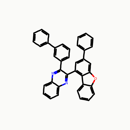 c1ccc(-c2cccc(-c3nc4ccccc4nc3-c3cc(-c4ccccc4)cc4oc5ccccc5c34)c2)cc1